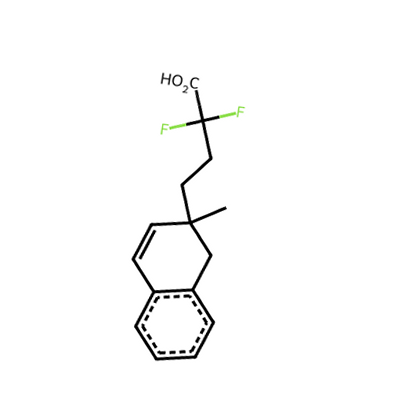 CC1(CCC(F)(F)C(=O)O)C=Cc2ccccc2C1